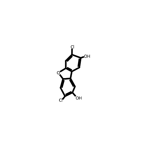 Oc1cc2c(cc1Cl)oc1cc(Cl)c(O)cc12